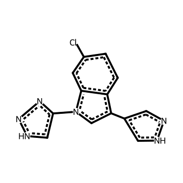 Clc1ccc2c(-c3cn[nH]c3)cn(-c3c[nH]nn3)c2c1